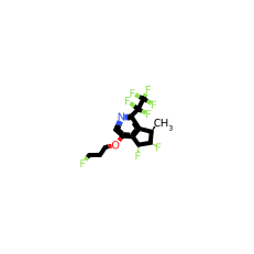 C[C@H]1c2c(C(F)(F)C(F)(F)F)ncc(OCCCF)c2[C@@H](F)[C@H]1F